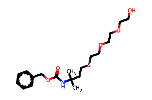 CC(C)(CCSCCOCCOCCO)NC(=O)OCc1ccccc1